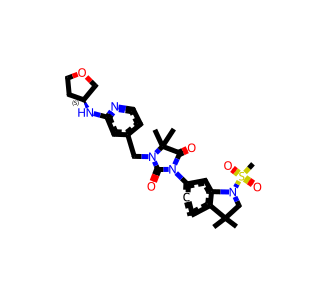 CC1(C)CN(S(C)(=O)=O)c2cc(N3C(=O)N(Cc4ccnc(N[C@H]5CCOC5)c4)C(C)(C)C3=O)ccc21